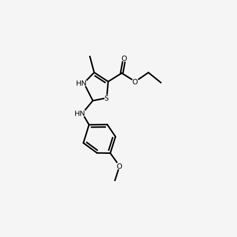 CCOC(=O)C1=C(C)NC(Nc2ccc(OC)cc2)S1